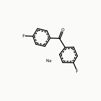 O=C(c1ccc(F)cc1)c1ccc(F)cc1.[Na]